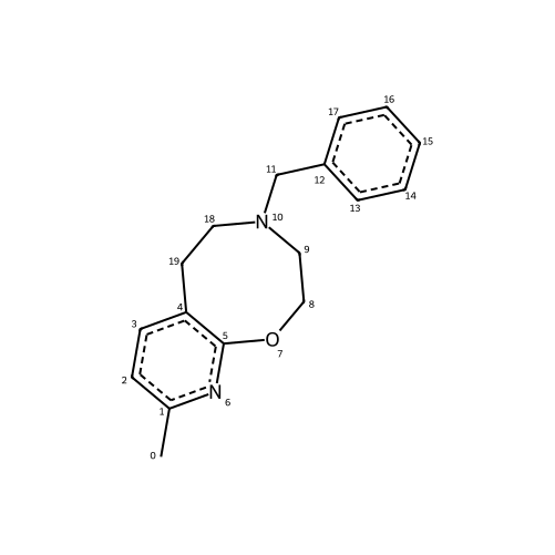 Cc1ccc2c(n1)OCCN(Cc1ccccc1)CC2